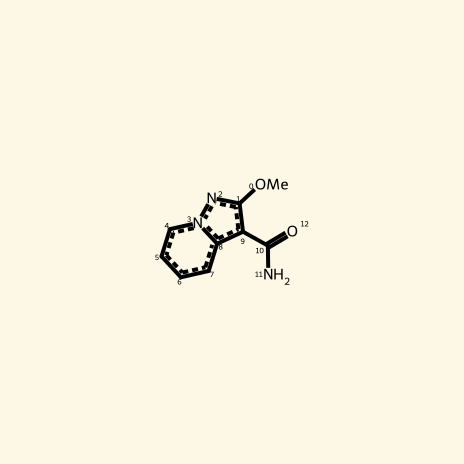 COc1nn2ccccc2c1C(N)=O